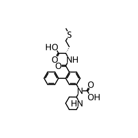 CSCC[C@H](NC(=O)c1ccc(N(C(=O)O)C2CCCCN2)cc1-c1ccccc1)C(=O)O